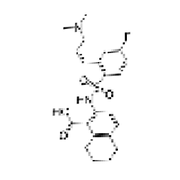 CN(C)C/C=C\c1cc(F)ccc1S(=O)(=O)Nc1ccc2c(c1C(=O)O)CCCC2